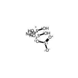 O=S(=O)(O)O.O=S(=O)(O)O.O=S([O-])[O-].[Na+].[Na+]